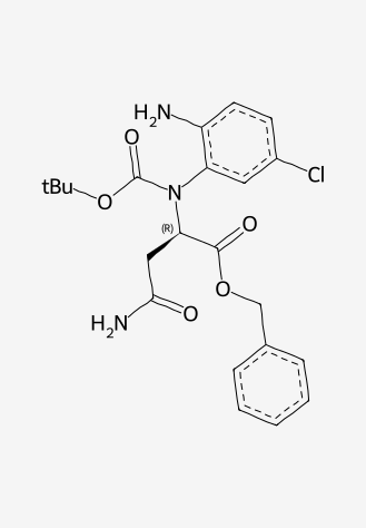 CC(C)(C)OC(=O)N(c1cc(Cl)ccc1N)[C@H](CC(N)=O)C(=O)OCc1ccccc1